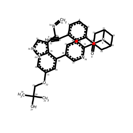 C#Cc1cccc(C(=O)N2C3CC2CN(c2ccc(-c4cc(OCC(C)(C)O)cn5ncc(CN=C)c45)cn2)C3)c1